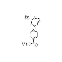 COC(=O)c1ccc(-c2cnnc(Br)c2)cc1